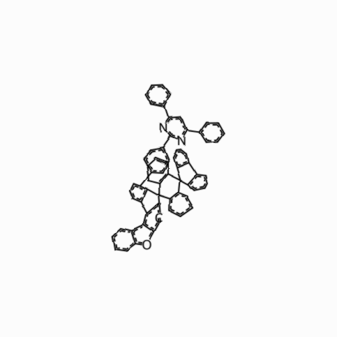 C1=CC2=C(CC1)C1(c3ccccc3C23c2ccccc2-c2ccccc23)c2ccc3oc4ccccc4c3c2-c2cccc(-c3ccc(-c4nc(-c5ccccc5)cc(-c5ccccc5)n4)cc3)c21